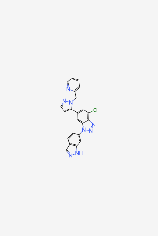 Clc1cc(-c2ccnn2Cc2ccccn2)cc2c1nnn2-c1ccc2cn[nH]c2c1